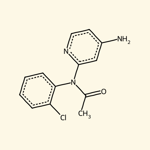 CC(=O)N(c1cc(N)ccn1)c1ccccc1Cl